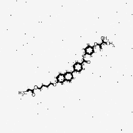 C=CC(=O)OCCCCOc1ccc2cc(-c3ccc(C(=O)Sc4ccc(OC(=O)C(=C)C)cc4)cc3)ccc2c1